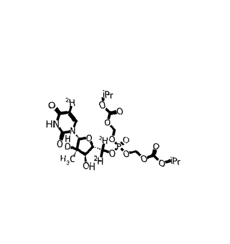 [2H]c1cn([C@@H]2O[C@H](C([2H])([2H])OP(=O)(OCOC(=O)OC(C)C)OCOC(=O)OC(C)C)[C@@H](O)[C@@]2(C)O)c(=O)[nH]c1=O